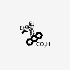 C=CC[Si](OCC)(OCC)OCC.O=C(O)c1c2ccccc2cc2ccccc12